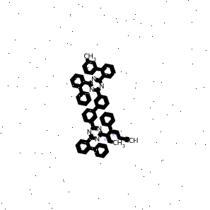 C#CC/C=C(\C(=C/C)c1nc(C2=CC(c3cccc(-c4nc(-c5ccccc5C5=CC=CC(C)C5)nc(-c5ccccc5-c5ccccc5)n4)c3)CC=C2)nc(-c2ccccc2-c2ccccc2)n1)c1ccccc1